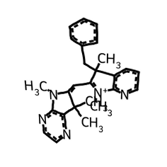 CN1C(=CC2=[N+](C)c3ncccc3C2(C)Cc2ccccc2)C(C)(C)c2nccnc21